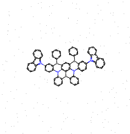 c1ccc(B2c3cc(-n4c5ccccc5c5ccccc54)ccc3N3c4ccccc4B4c5ccccc5N5c6ccc(-n7c8ccccc8c8ccccc87)cc6B(c6ccccc6)c6cc2c3c4c65)cc1